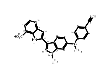 C#Cc1ccc(N(C)c2ccc3c(-c4cc5nccc(C(=O)O)c5[nH]4)nn(C)c3c2)cc1